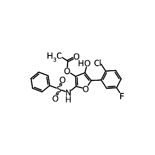 CC(=O)Oc1c(NS(=O)(=O)c2ccccc2)oc(-c2cc(F)ccc2Cl)c1O